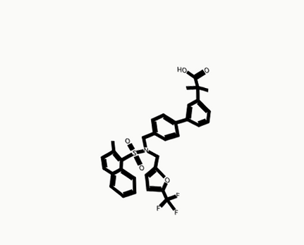 Cc1ccc2ccccc2c1S(=O)(=O)N(Cc1ccc(-c2cccc(C(C)(C)C(=O)O)c2)cc1)Cc1ccc(C(F)(F)F)o1